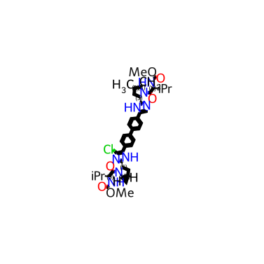 COC(=O)N[C@H](C(=O)N1[C@H](C)[C@H](C)C[C@H]1c1ncc(-c2ccc(-c3ccc(-c4[nH]c([C@@H]5C[C@H]6C[C@H]6N5C(=O)[C@@H](NC(=O)OC)C(C)C)nc4Cl)cc3)cc2)[nH]1)C(C)C